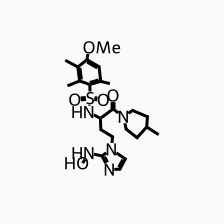 COc1cc(C)c(S(=O)(=O)NC(CCn2ccnc2NO)C(=O)N2CCC(C)CC2)c(C)c1C